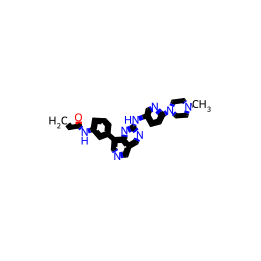 C=CC(=O)Nc1cccc(-c2cncc3cnc(Nc4ccc(N5CCN(C)CC5)nc4)nc23)c1